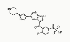 CCCS(=O)(=O)Nc1ccc(F)c(C(=O)c2c[nH]c3ncc(-c4cnn(C5CCNCC5)c4)cc23)c1